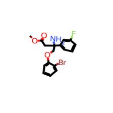 COC(=O)CC(N)(COc1ccccc1Br)c1cccc(F)c1